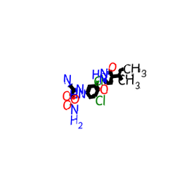 CCC(C)c1cc(Oc2c(Cl)cc(NN=C(C#N)C(=O)OC(N)=O)cc2Cl)n[nH]c1=O